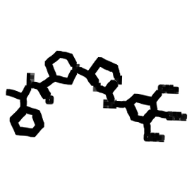 COc1cc(Nc2nccc(N3CCCC(C(=O)NC(C)c4ccccc4)C3)n2)cc(OC)c1OC